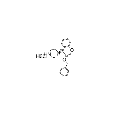 Cl.Cl.c1ccc(CO[C@H]2COc3ccccc3[C@@H]2N2CCNCC2)cc1